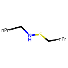 CCCCNSCCCC